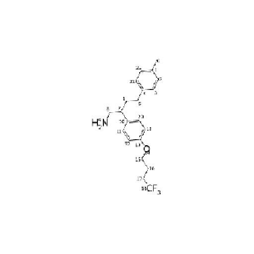 Cc1ccc(CCC(CN)c2ccc(OCCCC(F)(F)F)cc2)cc1